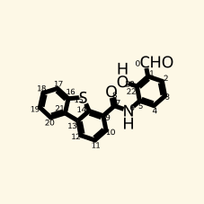 O=Cc1cccc(NC(=O)c2cccc3c2sc2ccccc23)c1O